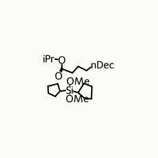 CCCCCCCCCCCCCC(=O)OC(C)C.CO[Si](OC)(C1CCCC1)C1CCCC1